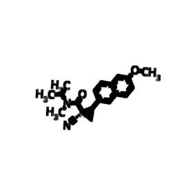 COc1ccc2cc(C3=C[C@@]3(C#N)C(=O)N(C)C(C)C)ccc2c1